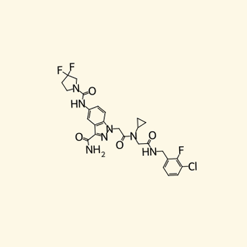 NC(=O)c1nn(CC(=O)N(CC(=O)NCc2cccc(Cl)c2F)C2CC2)c2ccc(NC(=O)N3CCC(F)(F)C3)cc12